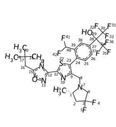 C[C@H]1CC(F)(F)CN1Cc1nc(-c2noc(CC(C)(C)C)n2)sc1-c1ccc(C(O)(C(F)(F)F)C(F)(F)F)cc1C(F)F